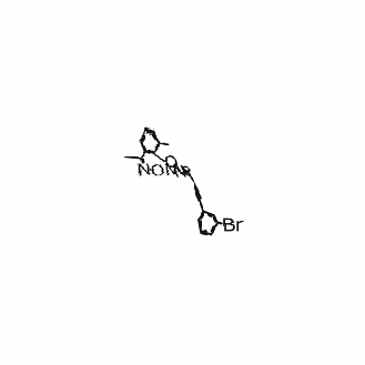 CO/N=C(/C)c1cccc(C)c1CO/N=C/C#Cc1cccc(Br)c1